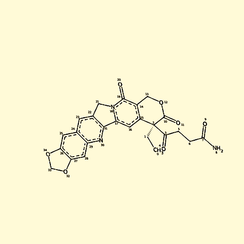 CC[C@@]1(C(=O)CCC(N)=O)C(=O)OCc2c1cc1n(c2=O)Cc2cc3cc4c(cc3nc2-1)OCO4